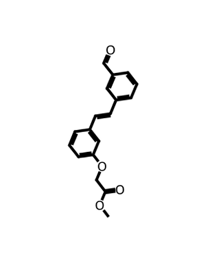 COC(=O)COc1cccc(C=Cc2cccc(C=O)c2)c1